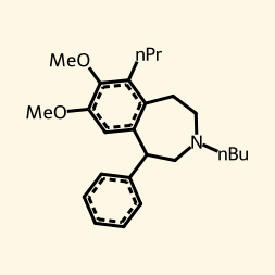 CCCCN1CCc2c(cc(OC)c(OC)c2CCC)C(c2ccccc2)C1